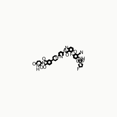 N#Cc1c(NS(=O)(=O)N2CC[C@@H](F)C2)ccc(F)c1Oc1ccc2ncn(-c3ccc(N4CCC(c5ccc6c(c5)C(=O)N(C5CCC(=O)NC5=O)C6=O)CC4)nc3)c(=O)c2c1